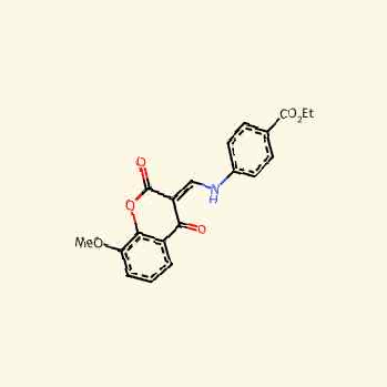 CCOC(=O)c1ccc(NC=C2C(=O)Oc3c(OC)cccc3C2=O)cc1